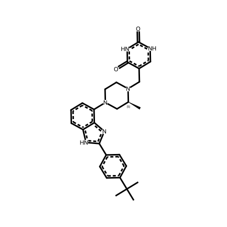 C[C@H]1CN(c2cccc3[nH]c(-c4ccc(C(C)(C)C)cc4)nc23)CCN1Cc1c[nH]c(=O)[nH]c1=O